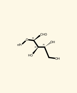 CCCO[C@@H](C=O)[C@H](O)[C@H](O)CO